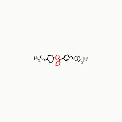 C=CC1CCC(OC(=O)c2ccc(/C=C/C(=O)O)cc2)CC1